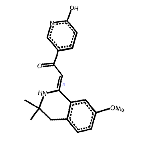 COc1ccc2c(c1)/C(=C/C(=O)c1ccc(O)nc1)NC(C)(C)C2